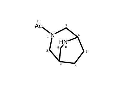 CC(=O)N1CC2CCC(C1)NC2